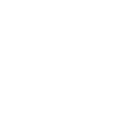 O=C(O)C(O)=CC(=O)c1ccc(-c2ccccc2)s1